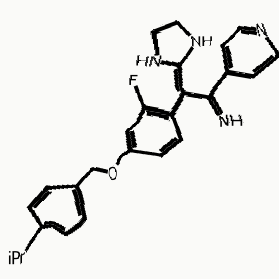 CC(C)c1ccc(COc2ccc(C(C(=N)c3ccncc3)=C3NCCN3)c(F)c2)cc1